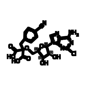 N#Cc1ccc(CC(OC[C@H]2O[C@@H](n3cnc4c(N)nc(Cl)nc43)[C@H](O)[C@H]2O)(C(=O)O)C(=O)O)cc1